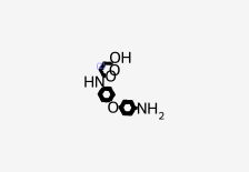 Nc1ccc(Oc2ccc(NC(=O)/C=C\C(=O)O)cc2)cc1